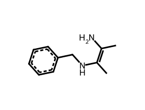 CC(N)=C(C)NCc1ccccc1